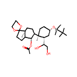 CC(=O)O[C@H]1C2CCC3(OCCO3)[C@@]2(C)CCC1[C@@]1(C)CC[C@H](O[Si](C)(C)C(C)(C)C)C[C@@H]1C(O)CO